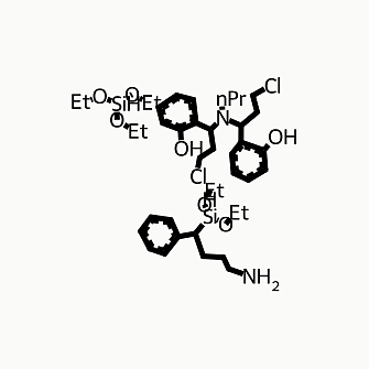 CCCN(C(CCCl)c1ccccc1O)C(CCCl)c1ccccc1O.CCO[SiH](OCC)C(CCCN)c1ccccc1.CCO[SiH](OCC)OCC